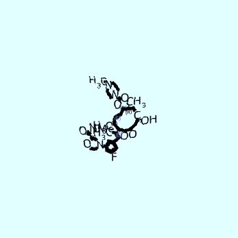 CNC(=O)[C@H]1CN(c2cc(F)cc(/C=C(\C)[C@H]3C(=O)C(=O)C[C@@H](O)CC[C@@H](C)[C@@H](OC(=O)N4CCN(C)CC4)/C=C/[C@@H]3C)c2)CCO1